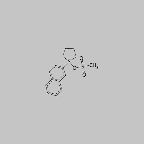 CS(=O)(=O)OS1(c2ccc3ccccc3c2)CCCC1